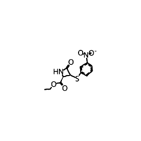 CCOC(=O)[C@H]1NC(=O)C1Sc1cccc([N+](=O)[O-])c1